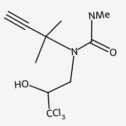 C#CC(C)(C)N(CC(O)C(Cl)(Cl)Cl)C(=O)NC